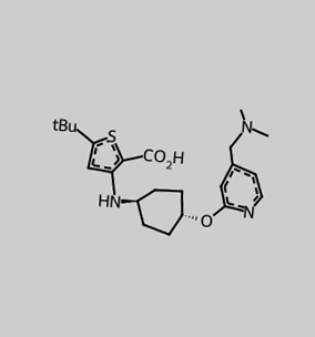 CN(C)Cc1ccnc(O[C@H]2CC[C@H](Nc3cc(C(C)(C)C)sc3C(=O)O)CC2)c1